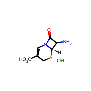 Cl.NC1C(=O)N2C=C(C(=O)O)CS[C@H]12